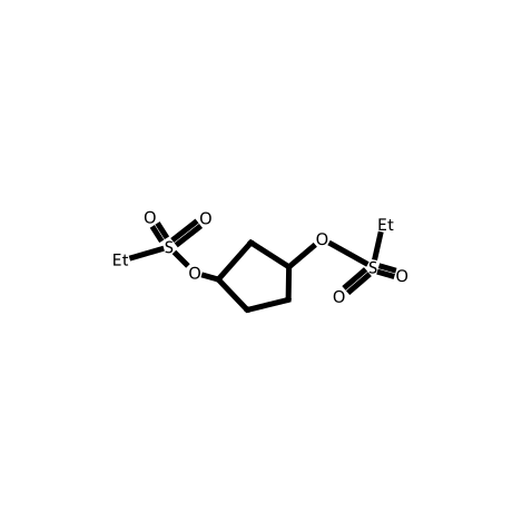 CCS(=O)(=O)OC1CCC(OS(=O)(=O)CC)C1